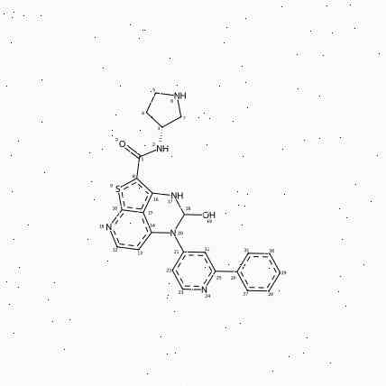 O=C(N[C@@H]1CCNC1)c1sc2nccc3c2c1NC(O)N3c1ccnc(-c2ccccc2)c1